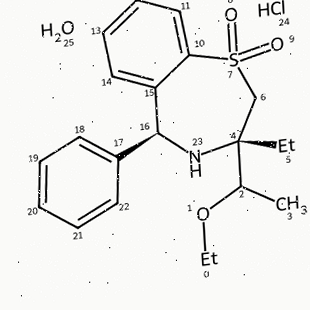 CCOC(C)[C@@]1(CC)CS(=O)(=O)c2ccccc2[C@H](c2ccccc2)N1.Cl.O